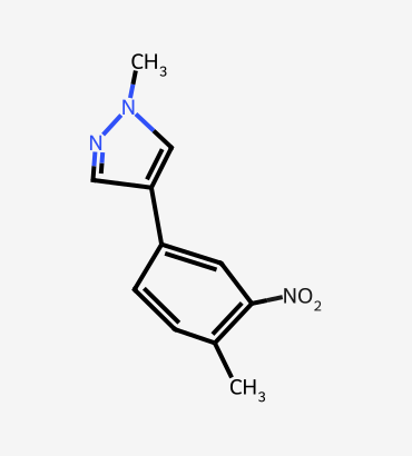 Cc1ccc(-c2cnn(C)c2)cc1[N+](=O)[O-]